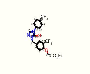 CCOC(=O)COc1ccc(Cn2ncn(-c3ccc(C(F)(F)F)cc3)c2=O)cc1C(F)(F)F